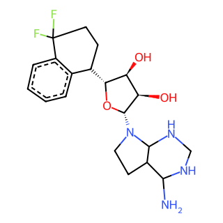 NC1NCNC2C1CCN2[C@@H]1O[C@H](C2CCC(F)(F)c3ccccc32)[C@@H](O)[C@H]1O